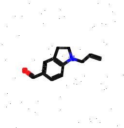 C=CCN1CCc2cc(C=O)ccc21